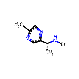 CCN[C@H](C)c1cnc(C)cn1